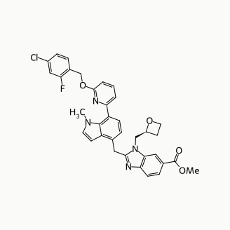 COC(=O)c1ccc2nc(Cc3ccc(-c4cccc(OCc5ccc(Cl)cc5F)n4)c4c3ccn4C)n(C[C@@H]3CCO3)c2c1